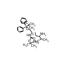 CC(C)C(N)CC[C@@H](CO[Si](c1ccccc1)(c1ccccc1)C(C)(C)C)NC(=O)OC(C)(C)C